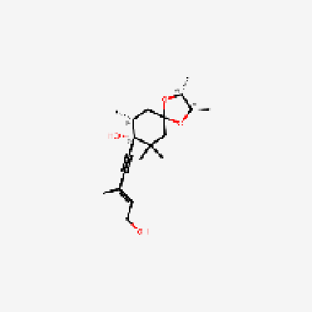 CC(C#C[C@@]1(O)[C@H](C)CC2(CC1(C)C)O[C@H](C)[C@@H](C)O2)=CCO